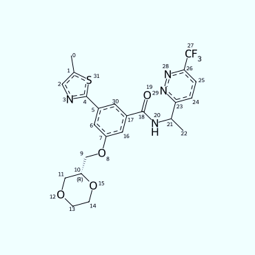 Cc1cnc(-c2cc(OC[C@H]3COCCO3)cc(C(=O)NC(C)c3ccc(C(F)(F)F)nn3)c2)s1